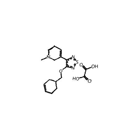 CN1CCC=C(c2nsnc2OCC2CC=CCC2)C1.O=C(O)C(=O)O